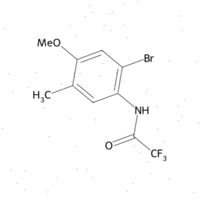 COc1cc(Br)c(NC(=O)C(F)(F)F)cc1C